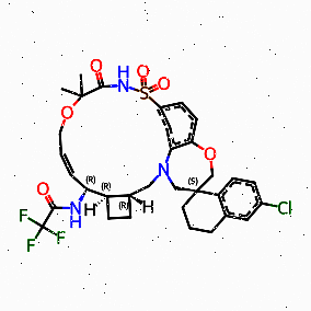 CC1(C)OCC=C[C@H](NC(=O)C(F)(F)F)[C@@H]2CC[C@H]2CN2C[C@@]3(CCCc4cc(Cl)ccc43)COc3ccc(cc32)S(=O)(=O)NC1=O